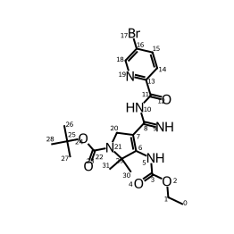 CCOC(=O)NC1=C(C(=N)NC(=O)c2ccc(Br)cn2)CN(C(=O)OC(C)(C)C)C1(C)C